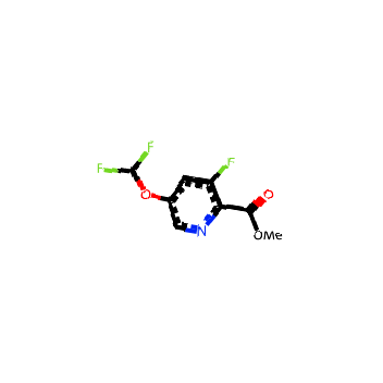 COC(=O)c1ncc(OC(F)F)cc1F